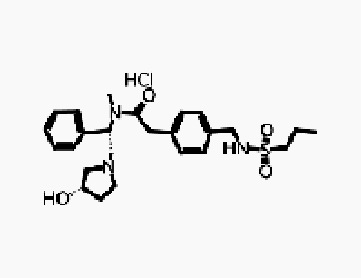 CCCS(=O)(=O)NCc1ccc(CC(=O)N(C)[C@H](CN2CC[C@H](O)C2)c2ccccc2)cc1.Cl